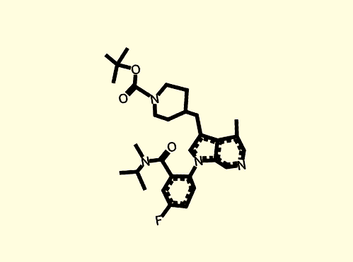 Cc1cncc2c1c(CC1CCN(C(=O)OC(C)(C)C)CC1)cn2-c1ccc(F)cc1C(=O)N(C)C(C)C